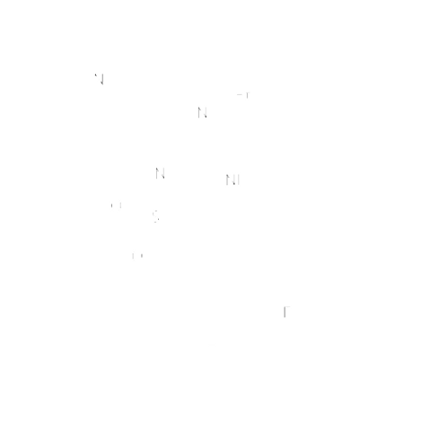 CCN(C1=NS(=O)(=O)c2cc(F)c(F)cc2N1)c1cccnc1